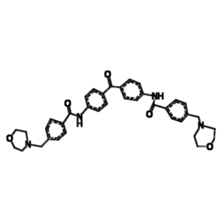 O=C(Nc1ccc(C(=O)c2ccc(NC(=O)c3ccc(CN4CCOCC4)cc3)cc2)cc1)c1ccc(CN2CCOCC2)cc1